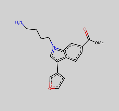 COC(=O)c1ccc2c(-c3ccoc3)cn(CCCCN)c2c1